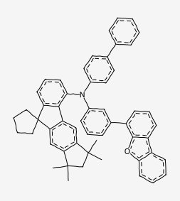 CC1(C)CC(C)(C)c2cc3c(cc21)-c1c(N(c2ccc(-c4ccccc4)cc2)c2cccc(-c4cccc5c4oc4ccccc45)c2)cccc1C31CCCC1